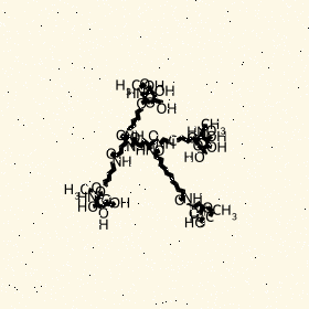 CC(=O)NC1C(OCCCCCCNC(=O)CCC(NC(=O)CCC(NC(=O)CCCCCCCCCCC(=O)NC[C@H]2C[C@@H](OC(C)C)[C@H](CO)O2)C(=O)NCCCCCCOC2OC(CO)C(O)C(O)C2NC(C)=O)C(=O)NCCCCCCOC2OC(CO)C(O)C(O)C2NC(C)=O)OC(CO)C(O)C1O